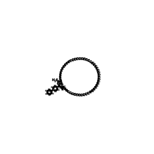 CC(C)N1CCCCCCCCCCCCCCCCCCCCCCCCCCCCCCCCCCCCCCCCCCCCCCCCC2(CC1)CC2C(=O)N1CCN(C2CCCCC2)CC1